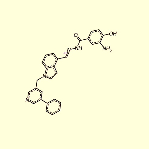 Nc1cc(C(=O)N/N=C/c2cccc3c2ccn3Cc2cncc(-c3ccccc3)c2)ccc1O